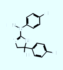 CC1(c2ccc(Cl)cc2)CN=C(N(N)c2ccc(Cl)cc2)N1